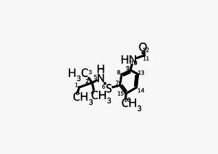 CCC(C)(C)NSc1cc(NC=O)ccc1C